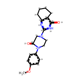 COc1ccc(N2CCN(c3nc4c(c(=O)[nH]3)CCCC4)CC2=O)cc1